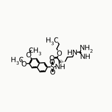 CCCOC(=O)[C@H](CCCNC(=N)N)NS(=O)(=O)c1ccc2cc(OC)c(OC)cc2c1